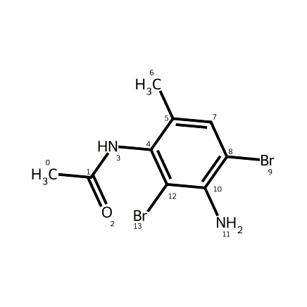 CC(=O)Nc1c(C)cc(Br)c(N)c1Br